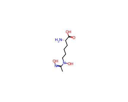 CC(=NO)N(O)CCCC[C@H](N)C(=O)O